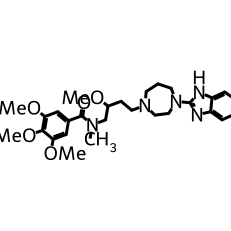 COc1cc(C(=O)N(C)CC(CCN2CCCN(c3nc4ccccc4[nH]3)CC2)OC)cc(OC)c1OC